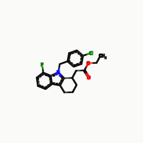 CCOC(=O)CC1CCCc2c1n(Cc1ccc(Cl)cc1)c1c(F)cccc21